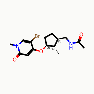 CC(=O)NC[C@@H]1CC[C@H](Oc2cc(=O)n(C)cc2Br)[C@H]1C